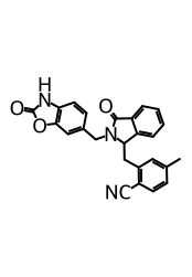 Cc1ccc(C#N)c(CC2c3ccccc3C(=O)N2Cc2ccc3[nH]c(=O)oc3c2)c1